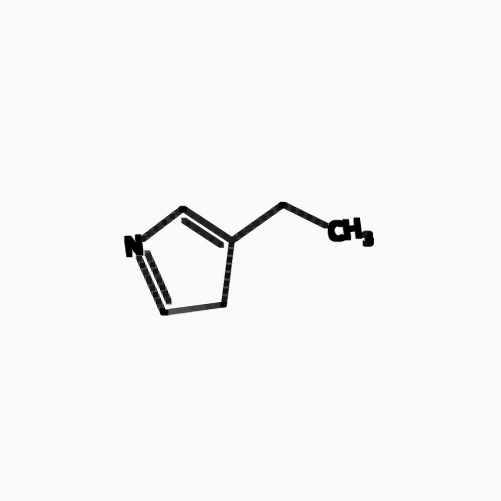 CCC1=CN=CC1